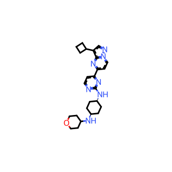 c1cc(-c2ccn3ncc(C4CCC4)c3n2)nc(N[C@H]2CC[C@H](NC3CCOCC3)CC2)n1